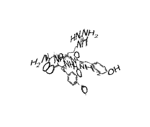 COc1ccc(C[C@H](NC(=O)[C@@H](CCCNC(=N)N)NC(=O)[C@@H](N)Cc2ccc(O)cc2)C(=O)N[C@@H](C)C(N)=O)cc1OC